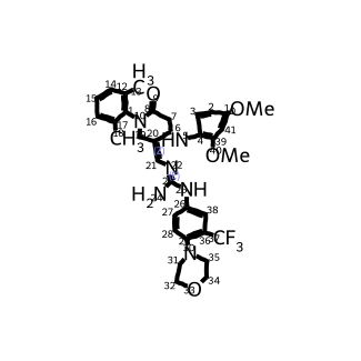 COc1ccc(NC2CC(=O)N(c3c(C)cccc3C)C/C2=C/N=C(\N)Nc2ccc(N3CCOCC3)c(C(F)(F)F)c2)c(OC)c1